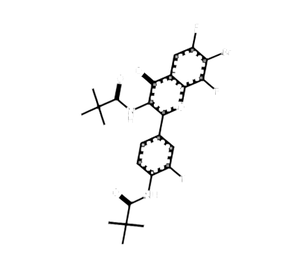 CC(C)(C)C(=O)Nc1ccc(-c2oc3c(F)c(Br)c(F)cc3c(=O)c2NC(=O)C(C)(C)C)cc1F